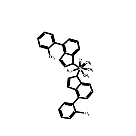 [CH2]=[Hf]([CH3])([CH3])([CH3])([CH2]C)([CH]1C=Cc2c(-c3ccccc3C)cccc21)[CH]1C=Cc2c(-c3ccccc3C)cccc21